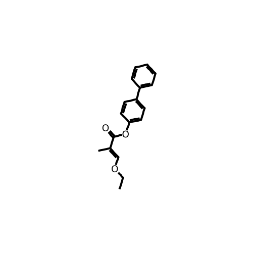 CCOC=C(C)C(=O)Oc1ccc(-c2ccccc2)cc1